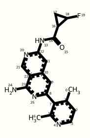 Cc1ccnc(C)c1-c1cc2cc(NC(=O)C3CC3F)ncc2c(N)n1